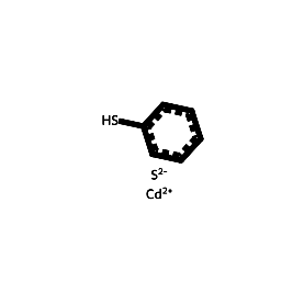 Sc1ccccc1.[Cd+2].[S-2]